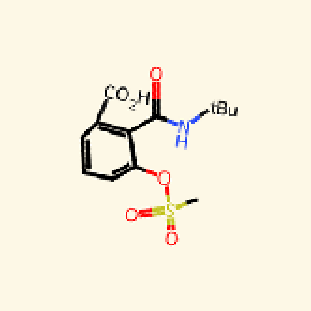 CC(C)(C)NC(=O)c1c(OS(C)(=O)=O)cccc1C(=O)O